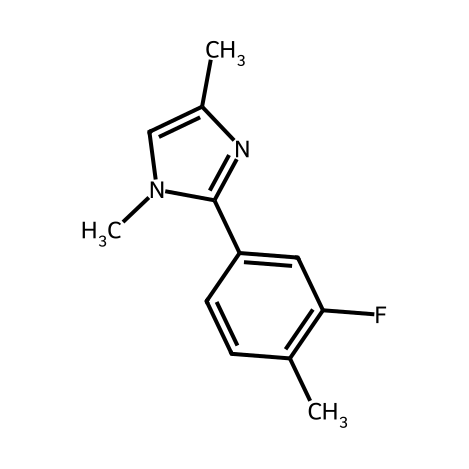 Cc1cn(C)c(-c2ccc(C)c(F)c2)n1